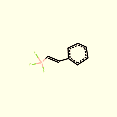 F[B-](F)(F)C=Cc1ccccc1